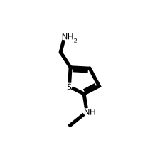 CNc1ccc(CN)s1